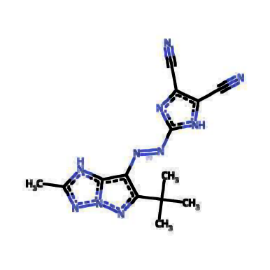 Cc1nn2nc(C(C)(C)C)c(/N=N/c3nc(C#N)c(C#N)[nH]3)c2[nH]1